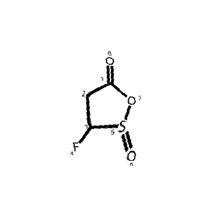 O=C1CC(F)S(=O)O1